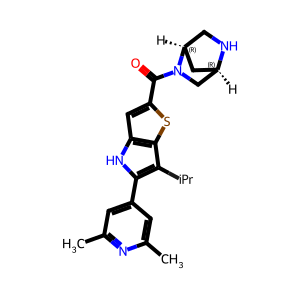 Cc1cc(-c2[nH]c3cc(C(=O)N4C[C@H]5C[C@@H]4CN5)sc3c2C(C)C)cc(C)n1